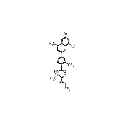 C[C@@H](NC(=O)c1ccc(/C(F)=C/C(c2cc(Cl)cc(Br)c2)C(F)(F)F)cc1C(F)(F)F)C(=O)NCC(F)(F)F